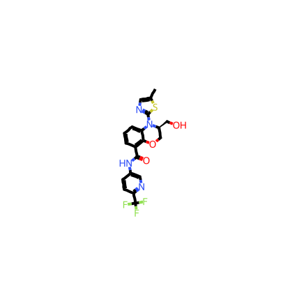 Cc1cnc(N2c3cccc(C(=O)Nc4ccc(C(F)(F)F)nc4)c3OC[C@@H]2CO)s1